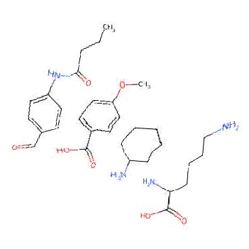 CCCC(=O)Nc1ccc(C=O)cc1.COc1ccc(C(=O)O)cc1.NC1CCCCC1.NCCCCC(N)C(=O)O